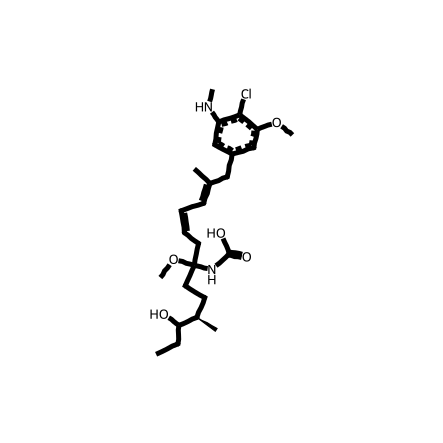 CCC(O)[C@H](C)CCC(C/C=C\C=C(/C)Cc1cc(NC)c(Cl)c(OC)c1)(NC(=O)O)OC